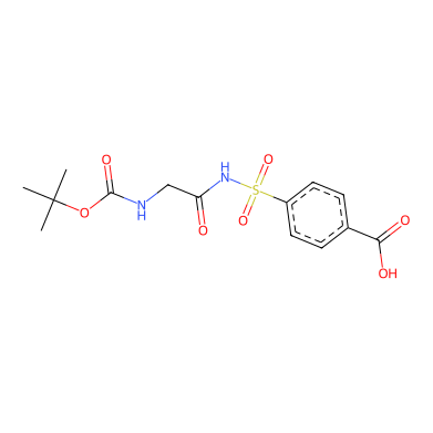 CC(C)(C)OC(=O)NCC(=O)NS(=O)(=O)c1ccc(C(=O)O)cc1